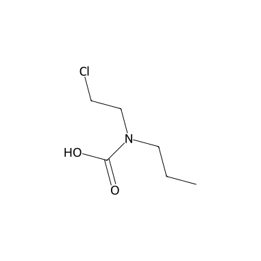 CCCN(CCCl)C(=O)O